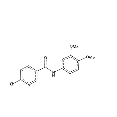 COc1ccc(NC(=O)c2ccc(Cl)nc2)cc1OC